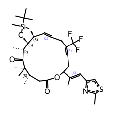 C/C(=C\c1csc(C)n1)C1C/C=C(/C(F)(F)F)C/C=C/[C@H](C)[C@H](O[Si](C)(C)C(C)(C)C)[C@@H](C)C(=O)C(C)(C)[C@@H](C)CC(=O)O1